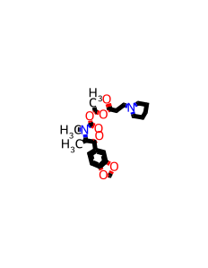 CC(OC(=O)CCN1CCCCC1)OC(=O)N(C)C(C)C(=O)c1ccc2c(c1)OCO2